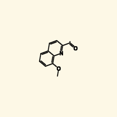 COc1cccc2ccc([C]=O)nc12